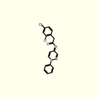 O=C(Cc1ccc(Cl)cc1Cl)N=c1ccn(-c2ccccc2)nc1